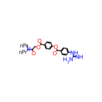 CCCN(CCC)C(=O)COC(=O)c1ccc(OC(=O)c2ccc(NC(=N)N)cc2)cc1